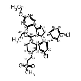 CCOc1ncc(C2=N[C@H](c3ccc(Cl)cc3)[C@H](c3ccc(Cl)cc3)N2C(=O)N2CCN(CCS(C)(=O)=O)CC2)c(OCC)n1